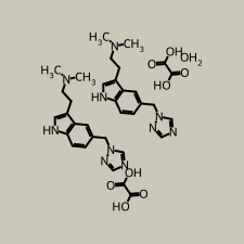 CN(C)CCc1c[nH]c2ccc(Cn3cncn3)cc12.CN(C)CCc1c[nH]c2ccc(Cn3cncn3)cc12.O.O=C(O)C(=O)O.O=C(O)C(=O)O